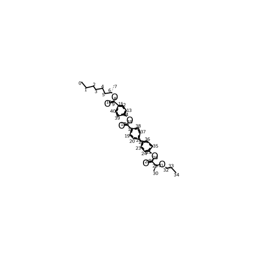 CCCCCC[C@H](C)OC(=O)c1ccc(OC(=O)c2ccc(-c3ccc(OC(=O)[C@H](C)OCCC)cc3)cc2)cc1